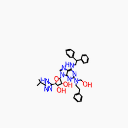 CC(C)c1nnc([C@H]2O[C@@H](n3cnc4c(NCC(c5ccccc5)c5ccccc5)nc(N(CO)CCc5ccccc5)nc43)[C@H](O)[C@@H]2O)[nH]1